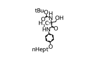 CCCCCCCOc1ccc(NC(=O)[C@](C)(CO)NC(=O)OC(C)(C)C)cc1